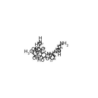 C[C@]1(O)CO[C@H](O[C@@H]2[C@@H](O)[C@H](O[C@@H]3CCC=C(CNCC4(O)CC(N)C4)O3)[C@@H](N)C[C@H]2NC(=O)C(O)C2CNC2)[C@H](O)C1